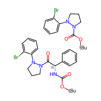 CC(C)(C)OC(=O)N1CCCN1c1ccccc1Br.CC(C)(C)OC(=O)N[C@H](C(=O)N1CCCN1c1ccccc1Br)c1ccccc1